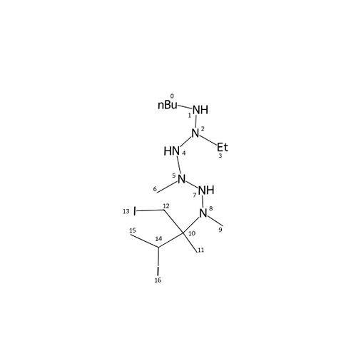 CCCCNN(CC)NN(C)NN(C)C(C)(CI)C(C)I